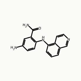 NC(=O)c1cc(N)ccc1Nc1cccc2cnccc12